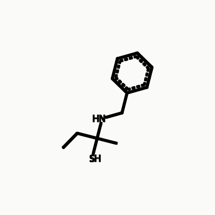 CCC(C)(S)NCc1ccccc1